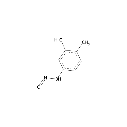 Cc1ccc(BN=O)cc1C